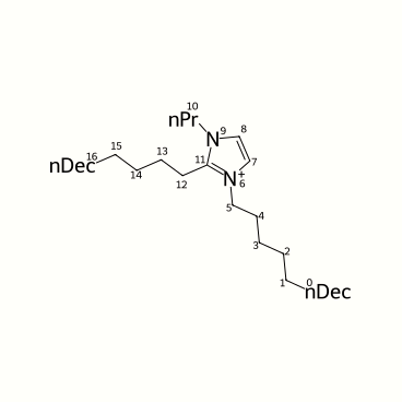 CCCCCCCCCCCCCCC[n+]1ccn(CCC)c1CCCCCCCCCCCCCC